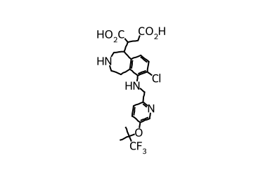 CC(C)(Oc1ccc(CNc2c(Cl)ccc3c2CCNCC3C(CC(=O)O)C(=O)O)nc1)C(F)(F)F